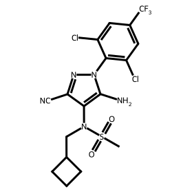 CS(=O)(=O)N(CC1CCC1)c1c(C#N)nn(-c2c(Cl)cc(C(F)(F)F)cc2Cl)c1N